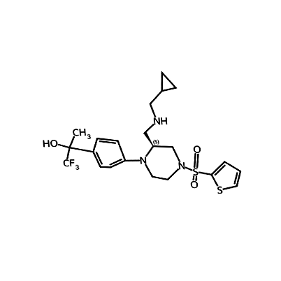 CC(O)(c1ccc(N2CCN(S(=O)(=O)c3cccs3)C[C@@H]2CNCC2CC2)cc1)C(F)(F)F